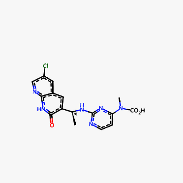 C[C@H](Nc1nccc(N(C)C(=O)O)n1)c1cc2cc(Cl)cnc2[nH]c1=O